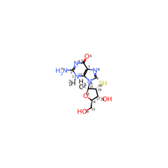 [2H]n1c(N)nc(=O)c2ncn([C@]3(C)O[C@H](CO)[C@@H](O)[C@H]3S)c21